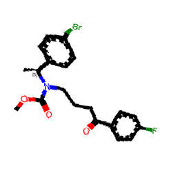 COC(=O)N(CCCC(=O)c1ccc(F)cc1)[C@@H](C)c1ccc(Br)cc1